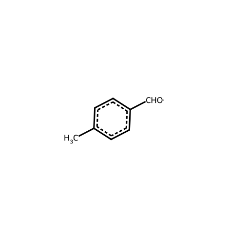 Cc1ccc([C]=O)cc1